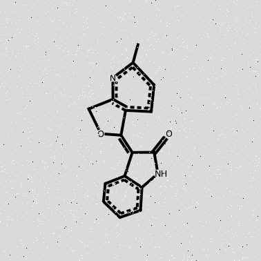 Cc1ccc2c(n1)COC2=C1C(=O)Nc2ccccc21